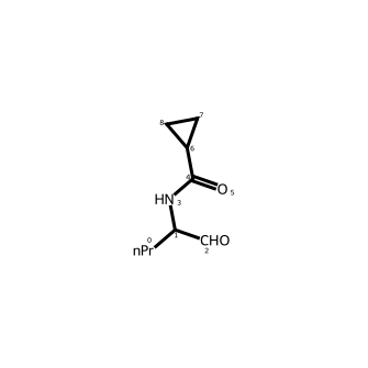 CCCC(C=O)NC(=O)C1CC1